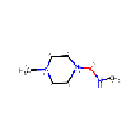 CNON1CCN(C)CC1